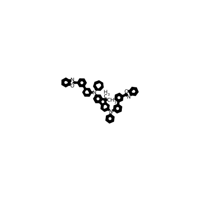 CC1(C)c2cc(N(C3=CC=CCC=C3)C3=CC(c4cccc(-c5nc6ccccc6o5)c4)CC=C3)ccc2C2=CC=C(N(c3ccccc3)c3cccc(-c4cccc(-c5nc6ccccc6o5)c4)c3)CC21